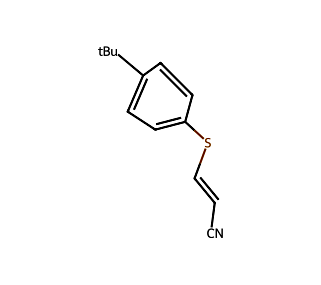 CC(C)(C)c1ccc(S/C=C/C#N)cc1